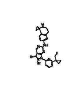 CC(C)n1c(=O)c2cnc(Nc3ccc4c(c3)CCNC43CC3)nc2n1-c1cccc(C2(CF)CC2)n1